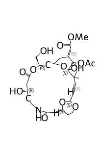 COC(=O)/C=C1\CC2C[C@H](CO)OC(=O)C[C@H](O)CCNC(=O)C[C@@H]3CCO[C@H](/C=C/C(C)(C)[C@](O)(O2)[C@H]1OC(C)=O)O3